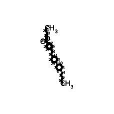 CCCCC[C@H]1CC[C@H](C2CCC(CCc3ccc(C(=O)OCCCC)cc3)CC2)CC1